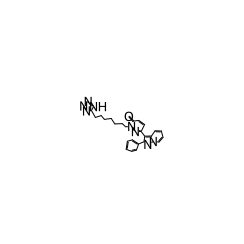 O=c1ccc(-c2c(-c3ccccc3)nn3ccccc23)nn1CCCCCCCc1nnn[nH]1